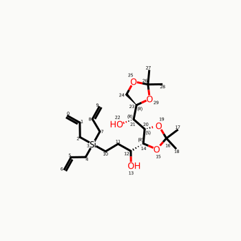 C=CC[Si](CC=C)(CC=C)CCC(O)[C@H]1OC(C)(C)O[C@H]1[C@H](O)[C@H]1COC(C)(C)O1